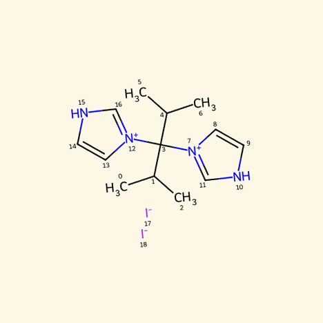 CC(C)C(C(C)C)([n+]1cc[nH]c1)[n+]1cc[nH]c1.[I-].[I-]